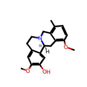 COc1cc2c(cc1O)[C@@H]1Cc3c(OC)ccc(C)c3CN1CC2